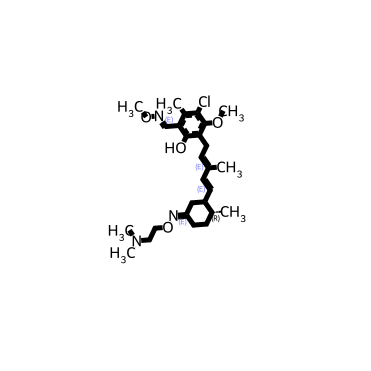 CO/N=C/c1c(C)c(Cl)c(OC)c(C/C=C(C)/C=C/C2C/C(=N/OCCN(C)C)CC[C@H]2C)c1O